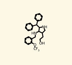 OCCC1CNC(C(c2ccccc2)c2ccccc2)C1NCc1ccccc1OC(F)(F)F